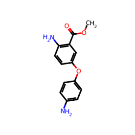 COC(=O)c1cc(Oc2ccc(N)cc2)ccc1N